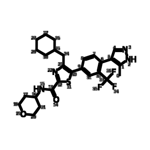 Cc1[nH]ncc1-c1ccc(-c2sc(C(=O)NC3CCOCC3)nc2CC2CCCCC2)cc1C(F)(F)F